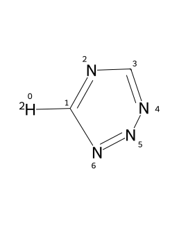 [2H]c1ncnnn1